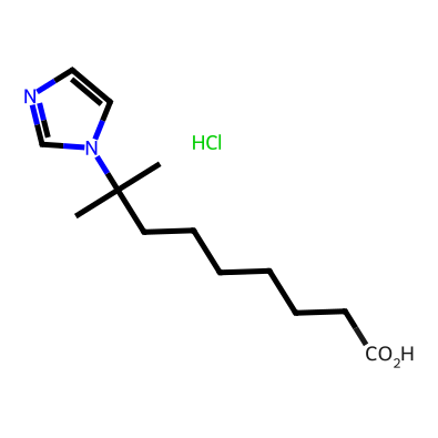 CC(C)(CCCCCCC(=O)O)n1ccnc1.Cl